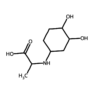 CC(NC1CCC(O)C(O)C1)C(=O)O